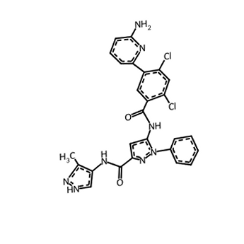 Cc1n[nH]cc1NC(=O)c1cc(NC(=O)c2cc(-c3cccc(N)n3)c(Cl)cc2Cl)n(-c2ccccc2)n1